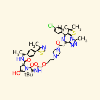 Cc1ncsc1-c1ccc([C@H](C)NC(=O)[C@@H]2C[C@@H](O)CN2C(=O)[C@@H](NC(=O)COCCCN2CCN(C(=O)C[C@@H]3N=C(c4ccc(Cl)cc4)c4c(sc(C)c4C)-n4c(C)nnc43)CC2)C(C)(C)C)cc1